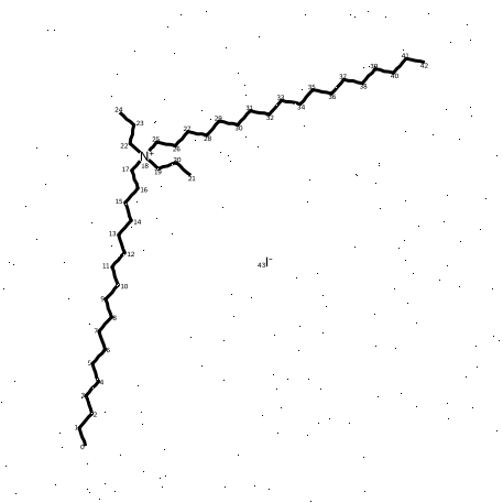 CCCCCCCCCCCCCCCCCC[N+](CCC)(CCC)CCCCCCCCCCCCCCCCCC.[I-]